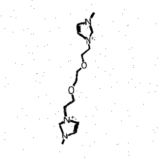 CN1C=C[N+](CCOCCOCC[N+]2C=CN(C)C2)C1